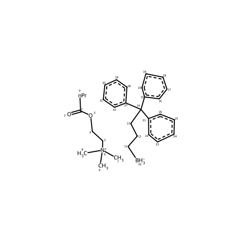 CCCC(=O)OCC[N+](C)(C)C.[BH3-]CCCC(c1ccccc1)(c1ccccc1)c1ccccc1